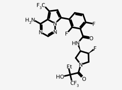 CCC(O)(C(=O)N1C[C@H](F)[C@H](NC(=O)c2c(F)ccc(-c3cc(C(F)(F)F)c4c(N)ncnn34)c2F)C1)C(F)(F)F